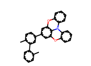 Cc1ccccc1-c1cc(-c2cc3c4c(c2)Oc2ccccc2N4c2ccccc2O3)ccc1C